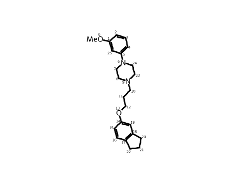 COc1cccc(N2CCN(CCCOc3ccc4c(c3)CCC4)CC2)c1